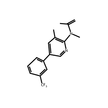 C=C(C)N(C)c1ncc(-c2cccc(C(F)(F)F)c2)cc1C